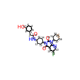 O=C(Cc1cccc(O)c1)NC1CCC(n2c(=O)c3cc(F)cnc3n(C3CCSCC3)c2=O)CC1